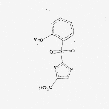 COc1ccccc1S(=O)(=O)c1ncc(C(=O)O)s1